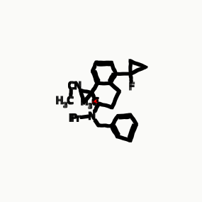 CC#N.CC(C)N(Cc1ccccc1)C(C)CCc1c(C2(F)CC2)cccc1C1(F)CC1